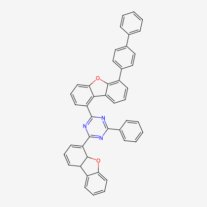 C1=CC2c3ccccc3OC2C(c2nc(-c3ccccc3)nc(-c3cccc4oc5c(-c6ccc(-c7ccccc7)cc6)cccc5c34)n2)=C1